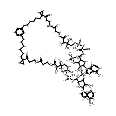 CC(C)(COP(=O)(O)OP(=O)(O)OCC1OC(n2cnc3c(N)ncnc32)C(O)C1OP(=O)(O)O)C(O)C(=O)NCCC(=O)NCCC(=O)C1(CCCCCCc2cccc(CCCCCCC3(C(=O)CCNC(=O)CCNC(=O)C(O)C(C)(C)COP(=O)(O)OP(=O)(O)OCC4OC(n5cnc6c(N)ncnc65)C(O)C4OP(=O)(O)O)CC3)c2)CC1